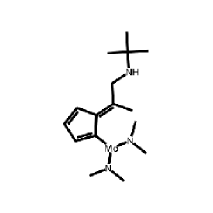 CC(CNC(C)(C)C)=C1C=CC=[C]1[Mo]([N](C)C)[N](C)C